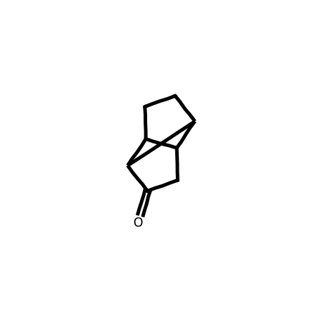 O=C1CC2C3CCC2C13